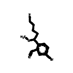 COC(CCCCF)c1ccc(Br)cc1C=O